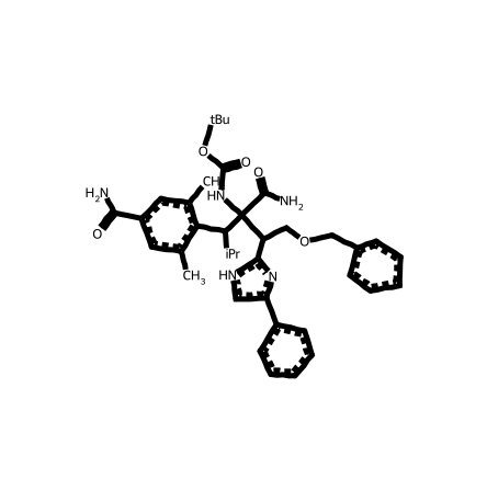 Cc1cc(C(N)=O)cc(C)c1C(C(C)C)C(NC(=O)OC(C)(C)C)(C(N)=O)C(COCc1ccccc1)c1nc(-c2ccccc2)c[nH]1